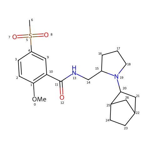 COc1ccc(S(C)(=O)=O)cc1C(=O)NCC1CCCN1C1CC2CCC1C2